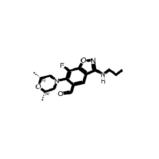 CCCNc1noc2c(F)c(N3C[C@@H](C)O[C@@H](C)C3)c(C=O)cc12